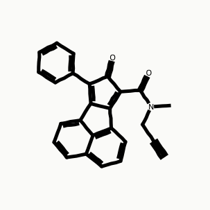 C#CCN(C)C(=O)C1=C2C(=C(c3ccccc3)C1=O)c1cccc3cccc2c13